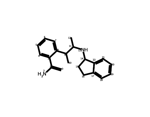 C=C(N)c1ccccc1C(C)C(C)NC1CCc2ccccc21